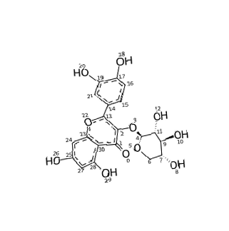 O=c1c(O[C@@H]2OC[C@@H](O)[C@H](O)[C@H]2O)c(-c2ccc(O)c(O)c2)oc2cc(O)cc(O)c12